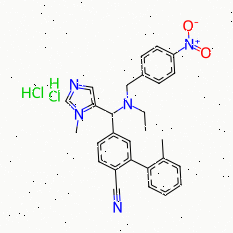 CCN(Cc1ccc([N+](=O)[O-])cc1)C(c1ccc(C#N)c(-c2ccccc2C)c1)c1cncn1C.Cl.Cl